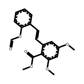 COC(=O)c1c(C=Cc2ccccc2OC=O)cc(OC)cc1OC